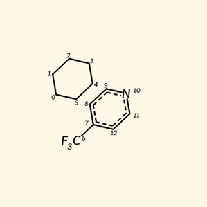 C1CCCCC1.FC(F)(F)c1ccncc1